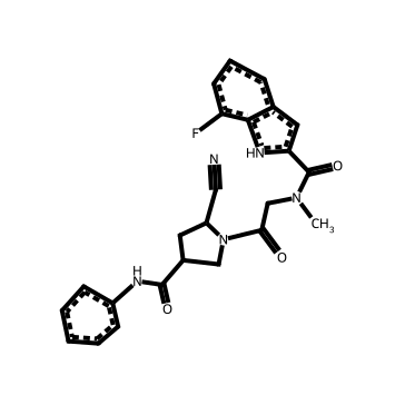 CN(CC(=O)N1CC(C(=O)Nc2ccccc2)CC1C#N)C(=O)c1cc2cccc(F)c2[nH]1